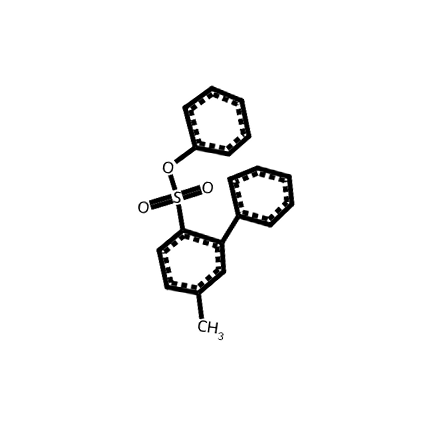 Cc1ccc(S(=O)(=O)Oc2ccccc2)c(-c2ccccc2)c1